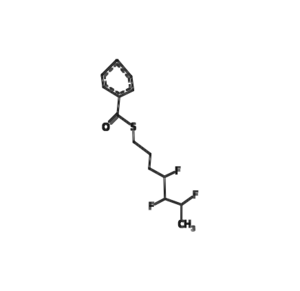 CC(F)C(F)C(F)CCCSC(=O)c1ccccc1